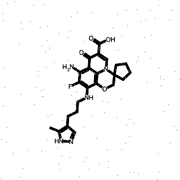 Cc1[nH]ncc1CCCNc1c(F)c(N)c2c(=O)c(C(=O)O)cn3c2c1OCC31CCCC1